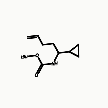 C=CCCC(NC(=O)OC(C)(C)C)C1CC1